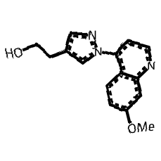 COc1ccc2c(-n3cc(CCO)cn3)ccnc2c1